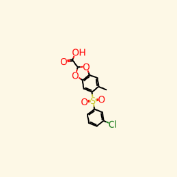 Cc1cc2c(cc1S(=O)(=O)c1cccc(Cl)c1)OC(C(=O)O)O2